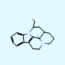 CC[C@]12CCCN3CCc4c(n(c5ccccc45)[C@@](O)(CO)C1)[C@@H]32